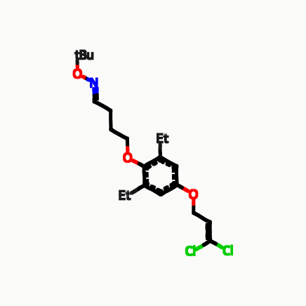 CCc1cc(OCC=C(Cl)Cl)cc(CC)c1OCCCC=NOC(C)(C)C